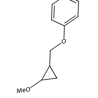 COC1CC1COc1cc[c]cc1